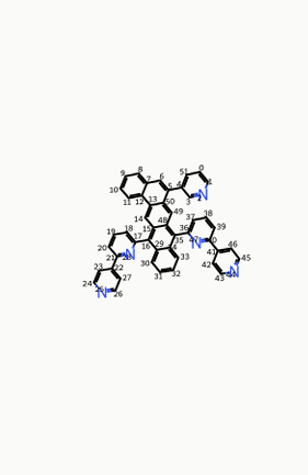 c1cncc(-c2cc3ccccc3c3cc4c(-c5cccc(-c6ccncc6)n5)c5ccccc5c(-c5cccc(-c6ccncc6)n5)c4cc23)c1